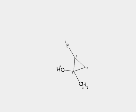 CC1(O)CC1F